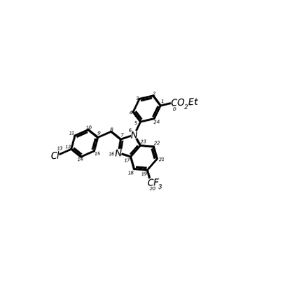 CCOC(=O)c1cccc(-n2c(Cc3ccc(Cl)cc3)nc3cc(C(F)(F)F)ccc32)c1